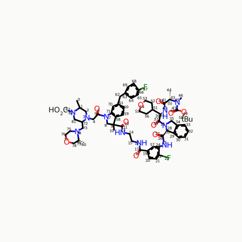 CC1CN(CC(=O)N2CC(C)(C(=O)NCCNC(=O)c3ccc(F)c(NC(=O)[C@@H]4c5ccccc5CN4C(=O)[C@@H](NC(=O)[C@H](C)N(C)C(=O)OC(C)(C)C)C4CCOCC4)c3)c3ccc(Cc4ccc(F)cc4)cc32)C(CN2CCOC[C@H]2C)CN1C(=O)O